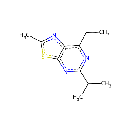 CCc1nc(C(C)C)nc2sc(C)nc12